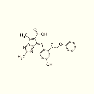 CC1=C(C(=O)O)C(=Nc2ccc(O)cc2NCOc2ccccc2)n2nc(C)nc21